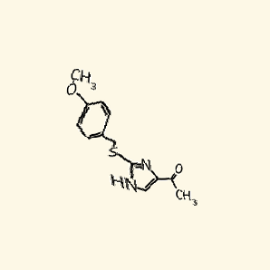 COc1ccc(CSc2nc(C(C)=O)c[nH]2)cc1